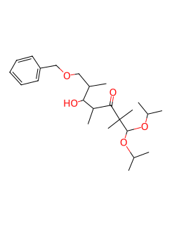 CC(C)OC(OC(C)C)C(C)(C)C(=O)C(C)C(O)C(C)COCc1ccccc1